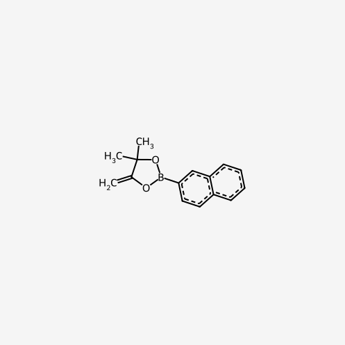 C=C1OB(c2ccc3ccccc3c2)OC1(C)C